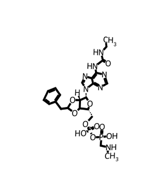 CCNC(=O)Nc1ncnc2c1ncn2[C@@H]1O[C@H](COP(=O)(O)OP(=O)(O)CNC)C2OC(Cc3ccccc3)O[C@@H]21